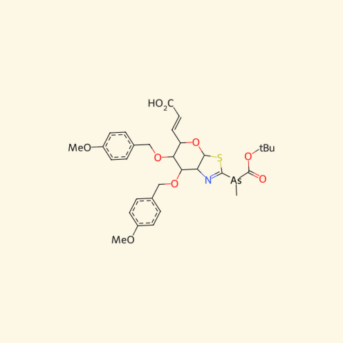 COc1ccc(COC2C(C=CC(=O)O)OC3SC([As](C)C(=O)OC(C)(C)C)=NC3C2OCc2ccc(OC)cc2)cc1